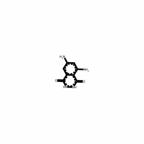 Nc1cc(N)c2c(=O)[nH][nH]c(=O)c2c1